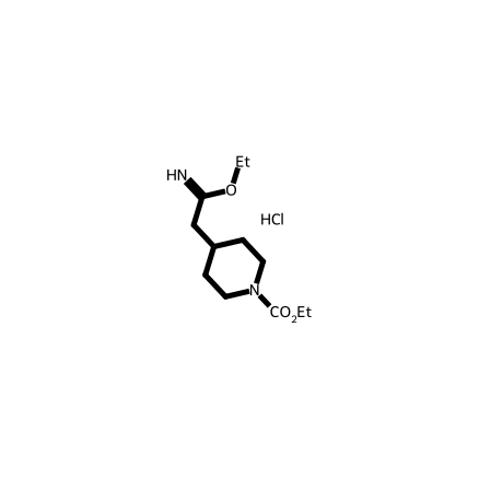 CCOC(=N)CC1CCN(C(=O)OCC)CC1.Cl